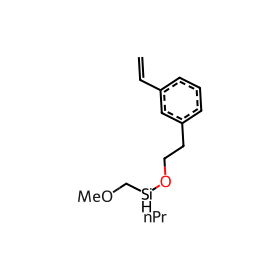 C=Cc1cccc(CCO[SiH](CCC)COC)c1